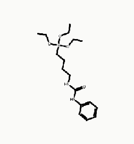 CCO[Si](CCCCNC(=O)Nc1ccccc1)(OCC)OCC